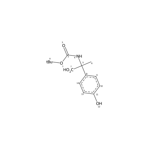 CC(C)(C)OC(=O)NC(C)(C(=O)O)c1ccc(O)cc1